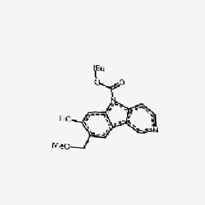 COCc1cc2c3cnccc3n(C(=O)OC(C)(C)C)c2cc1O